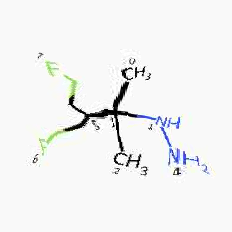 CC(C)(NN)C(F)F